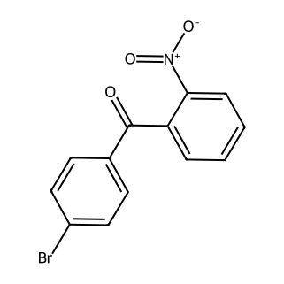 O=C(c1ccc(Br)cc1)c1ccccc1[N+](=O)[O-]